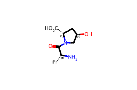 CC(C)[C@@H](N)C(=O)N1C[C@H](O)C[C@H]1C(=O)O